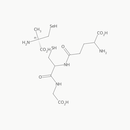 C[C@](N)(C[SeH])C(=O)O.NC(CCC(=O)NC(CS)C(=O)NCC(=O)O)C(=O)O